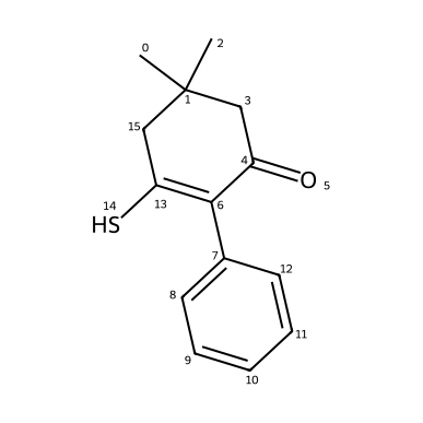 CC1(C)CC(=O)C(c2ccccc2)=C(S)C1